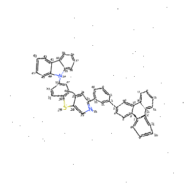 c1cc(-c2ccc3c4ccccc4c4ccccc4c3c2)cc(-c2cc3c(cn2)sc2ccc(-n4c5ccccc5c5ccccc54)cc23)c1